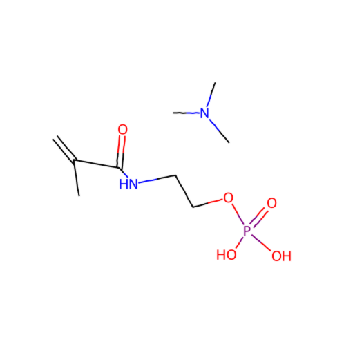 C=C(C)C(=O)NCCOP(=O)(O)O.CN(C)C